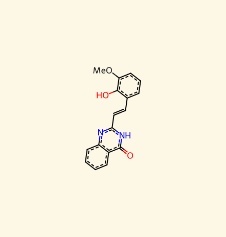 COc1cccc(/C=C/c2nc3ccccc3c(=O)[nH]2)c1O